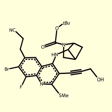 CSc1nc2c(F)c(Br)c(CCC#N)cc2c(NC2C3CC2N(C(=O)OC(C)(C)C)C3)c1C#CCO